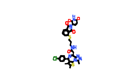 Cc1sc2c(c1C)C(c1ccc(Cl)cc1)=N[C@@H](CC(=O)NCCCSc1cccc3c1C(=O)N(C1CCC(=O)NC1=O)C3=O)c1nnc(C)n1-2